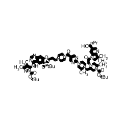 CCCC(O)c1cnc2c(c1)N(C(=O)CN1CC(C)N(C(=O)OC(C)(C)C)CC1CN1CCN(c3ncc(C(=O)N4CCN(CCCOc5cc6ncnc(Nc7c(C)c(C)nn7C(=O)OC(C)(C)C)c6cc5S(=O)(=O)C(C)(C)C)CC4)cn3)C[C@H]1C)CC2(C)C